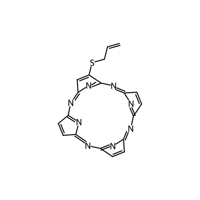 C=CCSC1=CC2=NC3=NC(=NC4=NC(=NC5=NC(=NC1=N2)C=C5)C=C4)C=C3